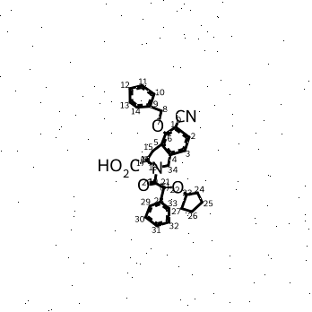 N#Cc1ccc2c(c1OCc1ccccc1)C[C@@H](C(=O)O)N(C(=O)[C@@H](OC1CCCC1)c1ccccc1)C2